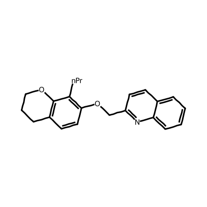 CCCc1c(OCc2ccc3ccccc3n2)ccc2c1OCCC2